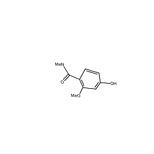 CNC(=O)c1ccc(O)cc1OC